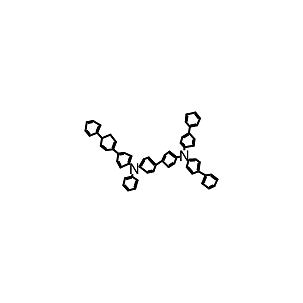 C1=CC(c2ccccc2)CC=C1c1ccc(N(c2ccccc2)c2ccc(-c3ccc(N(c4ccc(-c5ccccc5)cc4)c4ccc(-c5ccccc5)cc4)cc3)cc2)cc1